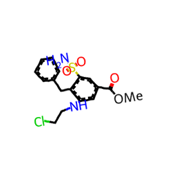 COC(=O)c1cc(NCCCl)c(Cc2ccccc2)c(S(N)(=O)=O)c1